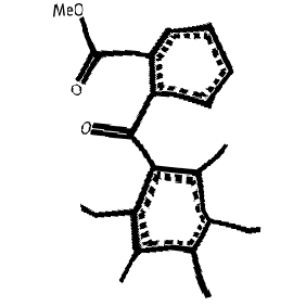 COC(=O)c1ccccc1C(=O)c1c(C)c(C)c(C)c(C)c1C